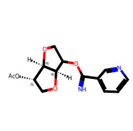 CC(=O)O[C@H]1CO[C@@H]2C(OC(=N)c3cccnc3)CO[C@H]12